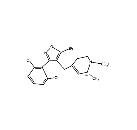 CC(C)c1onc(-c2c(Cl)cccc2Cl)c1CC1=C[C@@H](C)N(C(=O)O)CC1